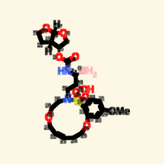 B[C@H](NC(=O)O[C@H]1CO[C@H]2OCC[C@H]21)[C@H](O)CN1CCOC/C=C\CCOc2cc(OC)ccc2S1(=O)=O